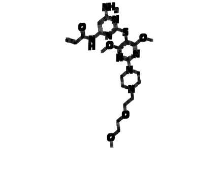 C=CC(=O)Nc1cc(N)nc(Sc2c(OC)nc(N3CCN(CCOCCOC)CC3)nc2OC)n1